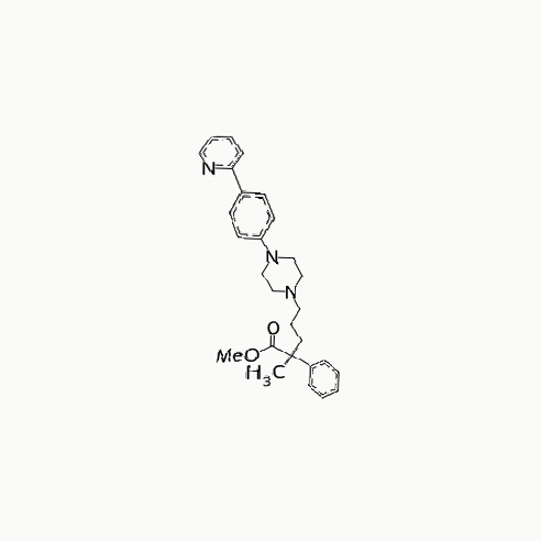 COC(=O)C(C)(CCCN1CCN(c2ccc(-c3ccccn3)cc2)CC1)c1ccccc1